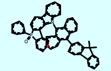 CC1(C)c2ccccc2-c2ccc(-c3c4ccccc4c(-n4c5ccccc5c5ccc6c(c54)-c4ccccc4P6(=O)c4ccccc4)c4ccccc34)cc21